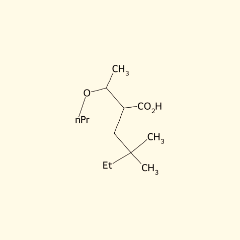 CCCOC(C)C(CC(C)(C)CC)C(=O)O